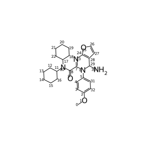 COc1ccc(N2C(C(=O)N(C3CCCCC3)C3CCCCC3)=Nc3occc3C2N)cc1